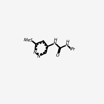 CSc1cc(NC(=O)NC(C)C)cnn1